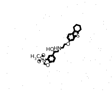 CS(=O)(=O)N1COc2ccc([C@@H](O)CNCCOc3ccc4c5c(sc4c3)CCCC5)cc21